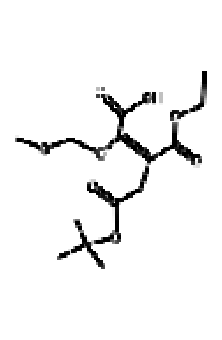 CCOC(=O)C(CC(=O)OC(C)(C)C)=C(OCOC)C(=O)O